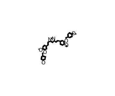 COc1ccc(COc2cc(/C=C/c3cc(/C=C/c4ccc(OC)c(OCc5ccc(OC)cc5)c4)ncn3)ccc2OC)cc1